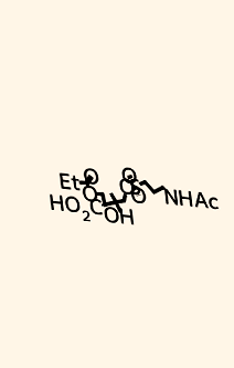 CCC(=O)OC[C@@](O)(C(=O)O)C(C)(C)COS(=O)(=O)CCCNC(C)=O